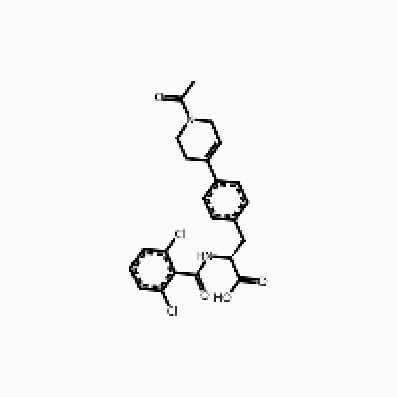 CC(=O)N1CC=C(c2ccc(C[C@H](NC(=O)c3c(Cl)cccc3Cl)C(=O)O)cc2)CC1